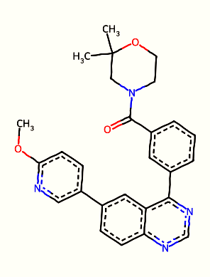 COc1ccc(-c2ccc3ncnc(-c4cccc(C(=O)N5CCOC(C)(C)C5)c4)c3c2)cn1